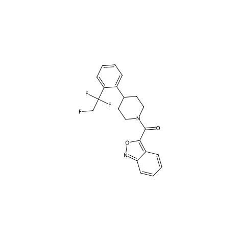 O=C(c1onc2ccccc12)N1CCC(c2ccccc2C(F)(F)CF)CC1